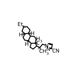 CC[C@H]1CC[C@@H]2C3CC[C@@]4(C)C(CCC4[C@@H](C)Cn4ccc(C#N)n4)[C@@H]3CC[C@@H]2C1